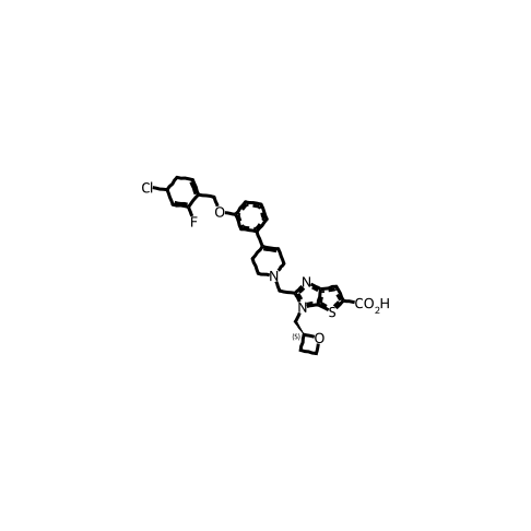 O=C(O)c1cc2nc(CN3CC=C(c4cccc(OCC5=CCC(Cl)C=C5F)c4)CC3)n(C[C@@H]3CCO3)c2s1